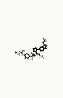 COc1nc(N[C@H]2CC[C@@H](NC(C)=O)CC2)nn2ccc(-c3ccc4nnn(CCF)c4c3)c12